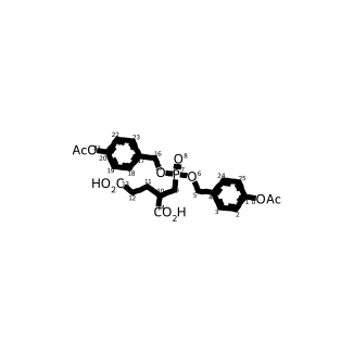 CC(=O)Oc1ccc(COP(=O)(CC(CCC(=O)O)C(=O)O)OCc2ccc(OC(C)=O)cc2)cc1